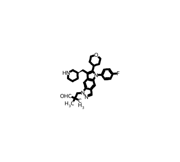 CC(C)(C=O)Cn1ncc2cc3c(cc21)c(C[C@H]1CCCNC1)c(C1CCOCC1)n3-c1ccc(F)cc1